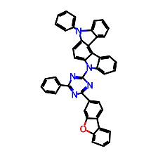 c1ccc(-c2nc(-c3ccc4c(c3)oc3ccccc34)nc(-n3c4ccccc4c4c5c6ccccc6n(-c6ccccc6)c5ccc43)n2)cc1